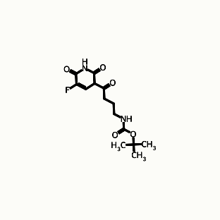 CC(C)(C)OC(=O)NCCCC(=O)C1C=C(F)C(=O)NC1=O